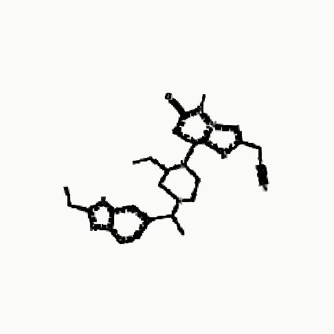 CCc1nc2ccc(C(C)N3CCN(c4cc(=O)n(C)n5cc(CC#N)nc45)C(CC)C3)cc2s1